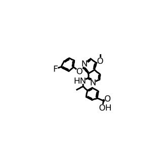 COc1cnc(Oc2cccc(F)c2)c2c(NC(C)c3ccc(C(=O)O)cc3)nccc12